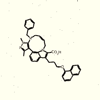 Cc1nn(C)c2c1-c1cccc3c(CCCOc4cccc5ccccc45)c(C(=O)O)n(c13)C/C=C\CN2Cc1ccccc1